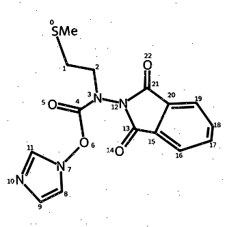 CSCCN(C(=O)On1ccnc1)N1C(=O)c2ccccc2C1=O